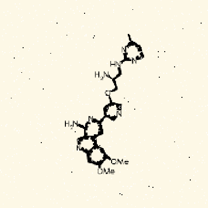 COc1cc2ncc3c(N)nc(-c4cncc(OC[C@@H](N)CNc5nccc(C)n5)c4)cc3c2cc1OC